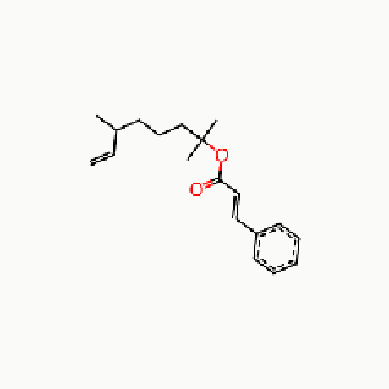 C=CC(C)CCCC(C)(C)OC(=O)/C=C/c1ccccc1